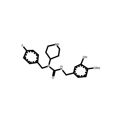 COc1ccc(CNC(=O)N(Cc2ccc(F)cc2)C2CCNCC2)cc1O